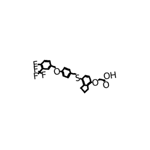 O=C(O)COc1ccc(SCc2ccc(OCc3ccc(F)c(C(F)(F)F)c3)cc2)c2c1CCC2